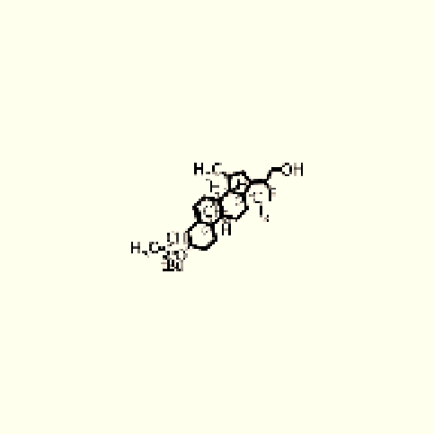 C[C@H]1CC(=C(F)CO)[C@@]2(C)CC[C@H]3[C@@H](CC=C4C[C@@H](O[Si](C)(C)C(C)(C)C)CC[C@@]43C)[C@H]12